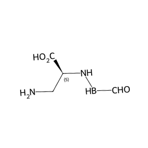 NC[C@H](NBC=O)C(=O)O